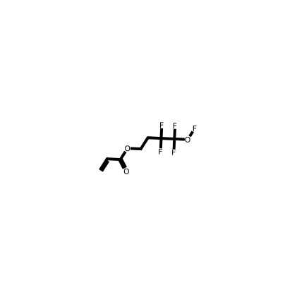 C=CC(=O)OCCC(F)(F)C(F)(F)OF